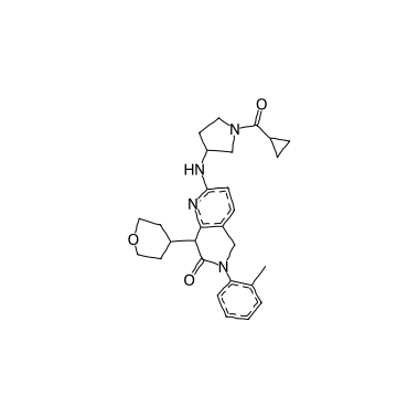 Cc1ccccc1N1Cc2ccc(NC3CCN(C(=O)C4CC4)C3)nc2C(C2CCOCC2)C1=O